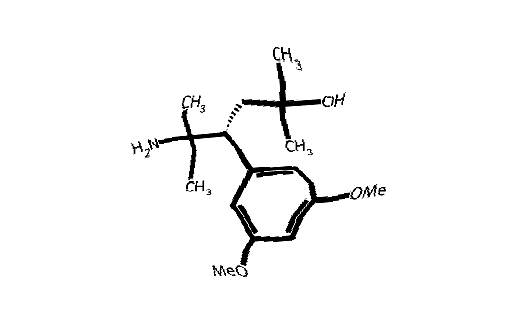 COc1cc(OC)cc([C@@H](CC(C)(C)O)C(C)(C)N)c1